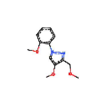 COCc1nn(-c2ccccc2OC)cc1OC